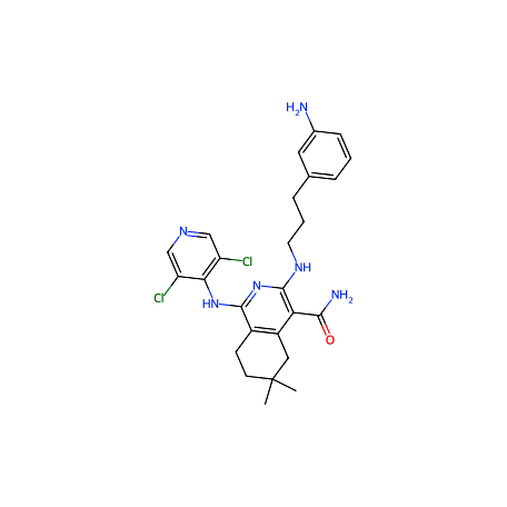 CC1(C)CCc2c(Nc3c(Cl)cncc3Cl)nc(NCCCc3cccc(N)c3)c(C(N)=O)c2C1